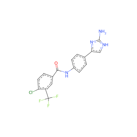 Nc1nc(-c2ccc(NC(=O)c3ccc(Cl)c(C(F)(F)F)c3)cc2)c[nH]1